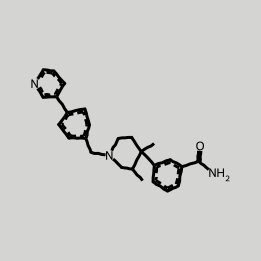 CC1CN(Cc2ccc(-c3cccnc3)cc2)CCC1(C)c1cccc(C(N)=O)c1